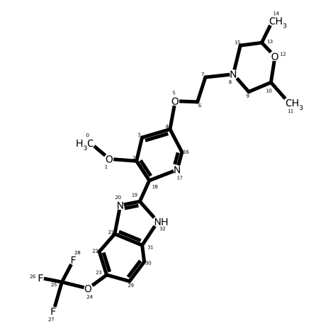 COc1cc(OCCN2CC(C)OC(C)C2)cnc1-c1nc2cc(OC(F)(F)F)ccc2[nH]1